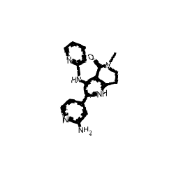 CN1CCc2[nH]c(-c3ccnc(N)c3)c(Nc3ccccn3)c2C1=O